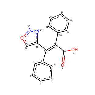 O=C(O)C(=C(c1ccccc1)c1conn1)c1ccccc1